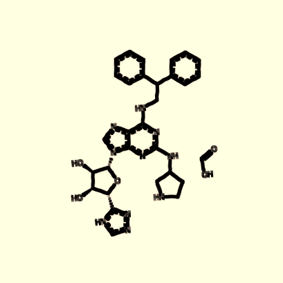 O=CO.O[C@@H]1[C@H](O)[C@@H](c2nnc[nH]2)O[C@H]1n1cnc2c(NCC(c3ccccc3)c3ccccc3)nc(NC3CCNC3)nc21